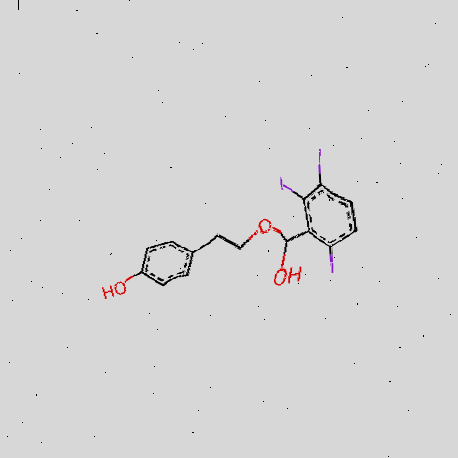 Oc1ccc(CCOC(O)c2c(I)ccc(I)c2I)cc1